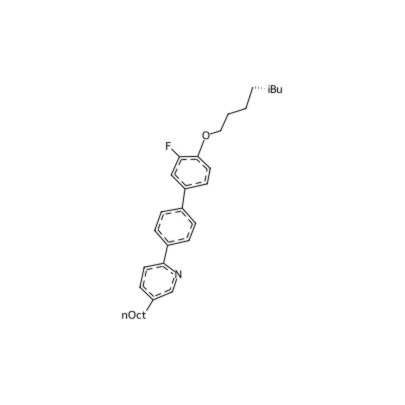 CCCCCCCCc1ccc(-c2ccc(-c3ccc(OCCCC[C@@H](C)CC)c(F)c3)cc2)nc1